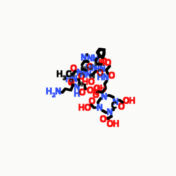 C[C@H](NC(=O)[C@H](CC(=O)O)NC(=O)CCCN)C(=O)N[C@@H](Cc1c[nH]cn1)C(=O)N[C@@H](CO)C(=O)N[C@@H](Cc1ccccc1)C(=O)NC(CO)C(=O)NCCCC(C(=O)O)N1CCN(CC(=O)O)CCN(CC(=O)O)CCN(CC(=O)O)CC1